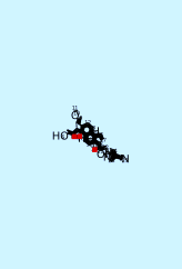 CC[C@]1(CCCO)[C@@H](CCOC)CC[C@H]2[C@@H]3CC[C@H]([C@@](C)(O)Cn4cc(C#N)cn4)[C@@]3(C)CC[C@@H]21